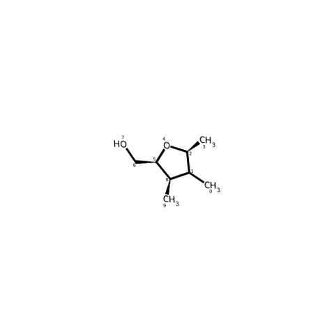 CC1[C@H](C)O[C@H](CO)[C@@H]1C